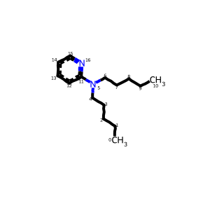 CCCCCN(CCCCC)c1ccccn1